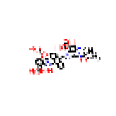 C=C(C)C(=O)NCCCN(CCc1c2ccccc2c(CN(CCOCCO)Cc2ccccc2B(O)O)c2ccccc12)Cc1ccccc1B(O)O